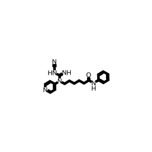 N#CNC(=N)N(CCCCCC(=O)Nc1ccccc1)c1ccncc1